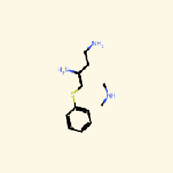 CNC.NCCC(N)CSc1ccccc1